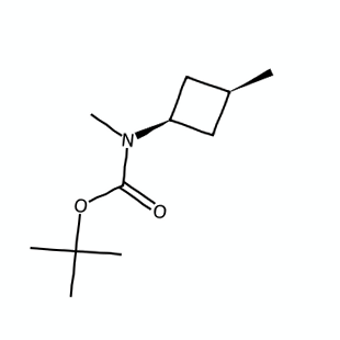 CN(C(=O)OC(C)(C)C)[C@H]1C[C@@H](C)C1